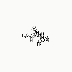 CCn1nccc1C(=O)N[C@H](c1cn2nc(C[C@H]3C[C@@H](C(F)(F)F)CNC3=O)c(C3CCOC(C)(C)C3)nc2n1)C1CCC(F)(F)CC1